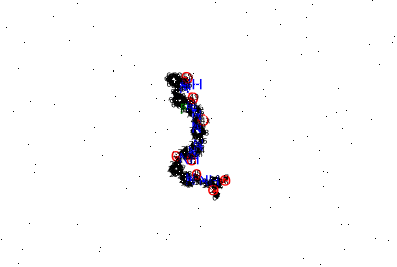 CCOc1cc(OC)ccc1CNCC(=O)N1CCCC(c2cccc(C(=O)NC3(C(=O)N4CCN(CC5CCN(CC(=O)N6CCN(C(=O)c7cc(Cc8n[nH]c(=O)c9ccccc89)ccc7F)CC6)CC5)CC4)CC3)c2)C1